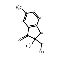 Cc1ccc2c(c1)C(=O)C(C)(CO)C2